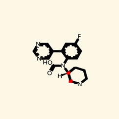 O=C(O)N(c1ccc(F)cc1-c1cncnc1)[C@H]1CN2CCC1CC2